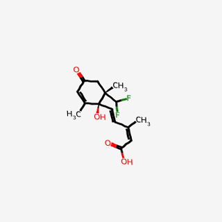 CC1=CC(=O)C[C@](C)(C(F)F)[C@]1(O)/C=C/C(C)=C\C(=O)O